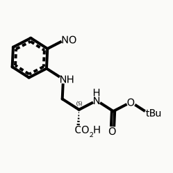 CC(C)(C)OC(=O)N[C@@H](CNc1ccccc1N=O)C(=O)O